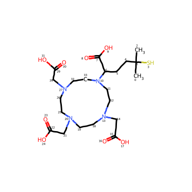 CC(C)(S)CCC(C(=O)O)N1CCN(CC(=O)O)CCN(CC(=O)O)CCN(CC(=O)O)CC1